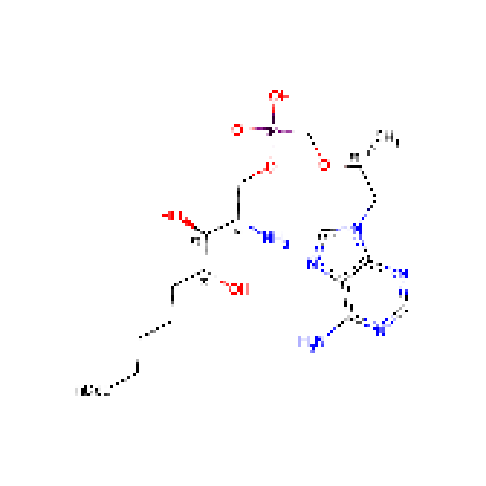 CCCCCCCCCCCCCC[C@@H](O)[C@@H](O)[C@@H](N)COP(=O)(O)CO[C@H](C)Cn1cnc2c(N)ncnc21